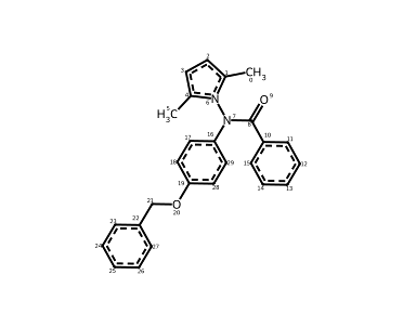 Cc1ccc(C)n1N(C(=O)c1ccccc1)c1ccc(OCc2ccccc2)cc1